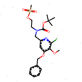 COc1c(OCc2ccccc2)cc(CN(CCOS(C)(=O)=O)C(=O)OC(C)(C)C)nc1F